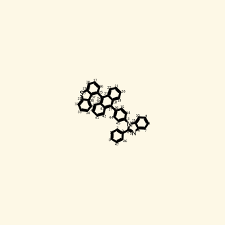 c1ccc(-c2nc3ccccc3n2-c2ccc(-c3c4ccccc4c(-c4cccc5sc6ccccc6c45)c4ccccc34)cc2)cc1